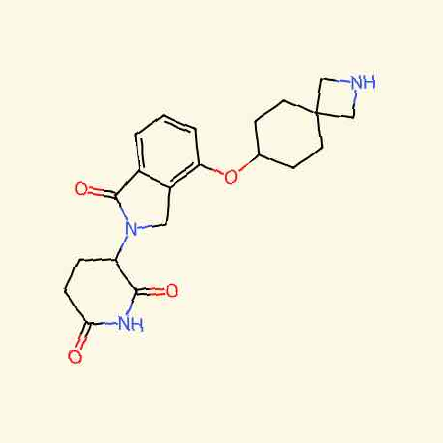 O=C1CCC(N2Cc3c(OC4CCC5(CC4)CNC5)cccc3C2=O)C(=O)N1